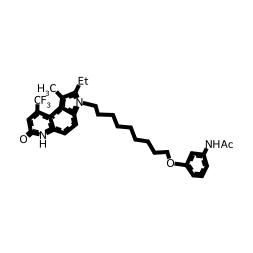 CCc1c(C)c2c3c(C(F)(F)F)cc(=O)[nH]c3ccc2n1CCCCCCCCCOc1cccc(NC(C)=O)c1